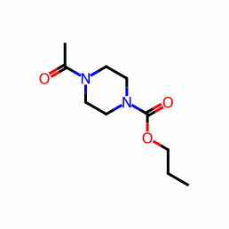 CCCOC(=O)N1CCN(C(C)=O)CC1